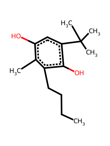 CCCCc1c(C)c(O)cc(C(C)(C)C)c1O